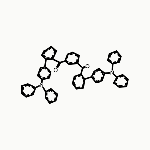 O=C(c1cccc(C(=O)c2ccccc2-c2ccc(N(c3ccccc3)c3ccccc3)cc2)c1)c1ccccc1-c1ccc(N(c2ccccc2)c2ccccc2)cc1